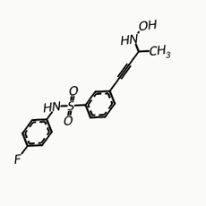 CC(C#Cc1cccc(S(=O)(=O)Nc2ccc(F)cc2)c1)NO